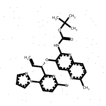 C=C[C@H](Oc1cc2nc(C)ccc2nc1NC(=O)OC(C)(C)C)c1nc(Br)ccc1-n1cccn1